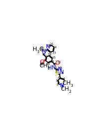 C=N/C=C\C(=C/C)c1nnc(NC(=O)c2ccc(CN(C)c3ccccn3)c(OC)c2)s1